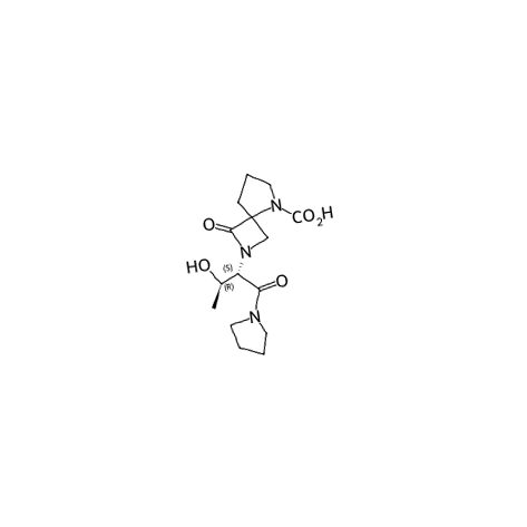 C[C@@H](O)[C@@H](C(=O)N1CCCC1)N1CC2(CCCN2C(=O)O)C1=O